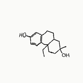 CCC12CCC(C)(O)CC1CCc1cc(O)ccc12